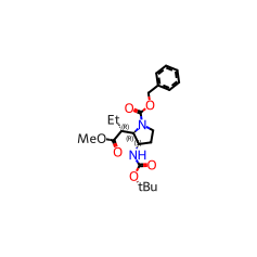 CC[C@@H](C(=O)OC)[C@@H]1[C@@H](NC(=O)OC(C)(C)C)CCN1C(=O)OCc1ccccc1